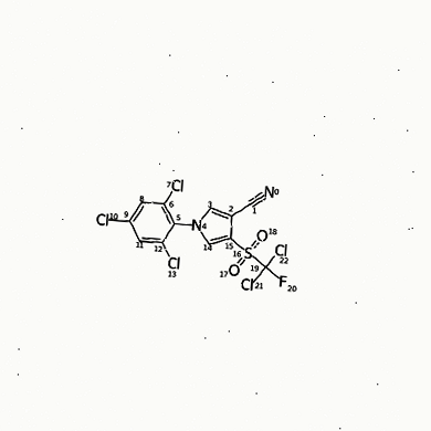 N#Cc1cn(-c2c(Cl)cc(Cl)cc2Cl)cc1S(=O)(=O)C(F)(Cl)Cl